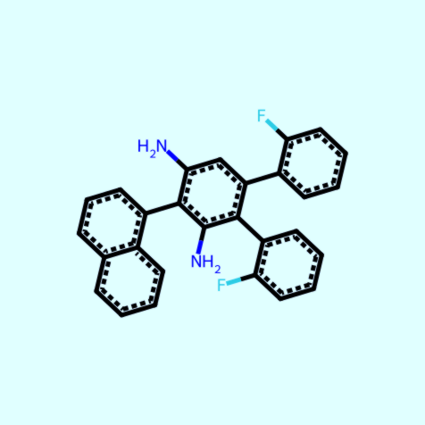 Nc1cc(-c2ccccc2F)c(-c2ccccc2F)c(N)c1-c1cccc2ccccc12